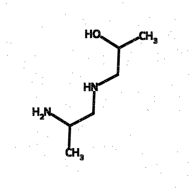 CC(N)CNCC(C)O